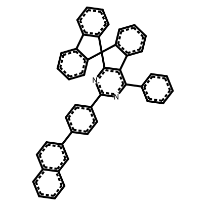 c1ccc(-c2nc(-c3ccc(-c4ccc5ccccc5c4)cc3)nc3c2-c2ccccc2C32c3ccccc3-c3ccccc32)cc1